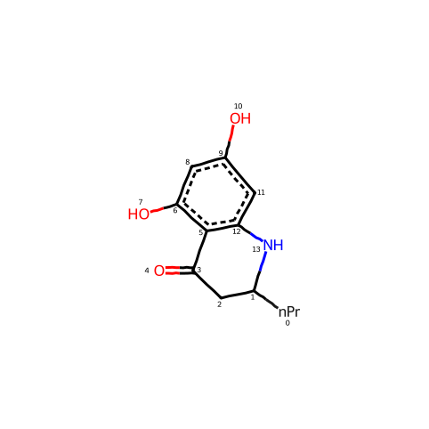 CCCC1CC(=O)c2c(O)cc(O)cc2N1